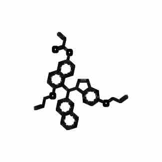 C=CCOc1ccc2c(c1)C=CC2C(c1ccc2ccccc2c1)c1c(OCC=C)ccc2cc(OC(=O)C=C)ccc12